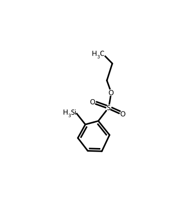 CCCOS(=O)(=O)c1ccccc1[SiH3]